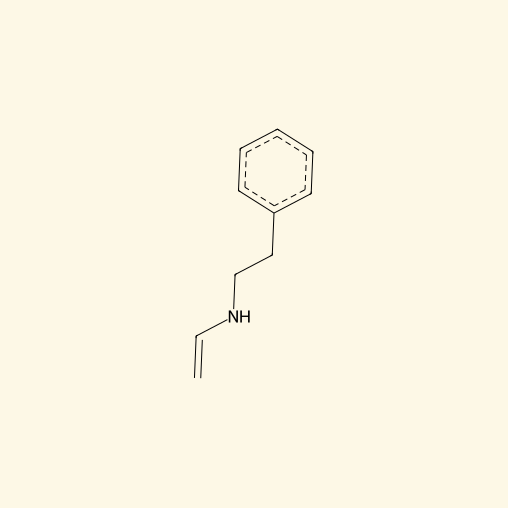 C=CNCCc1ccccc1